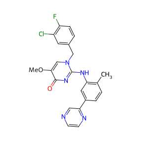 COc1cn(Cc2ccc(F)c(Cl)c2)c(Nc2cc(-c3cnccn3)ccc2C)nc1=O